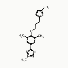 Cc1cnc(CCCOc2c(C)cc(-c3nnn(C)n3)cc2C)o1